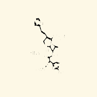 CO/N=C(/C(=O)NC1C(=O)N2C(C(=O)O)=C(/C=C/c3cscn3)CS[C@H]12)c1csc(N)n1.[NaH]